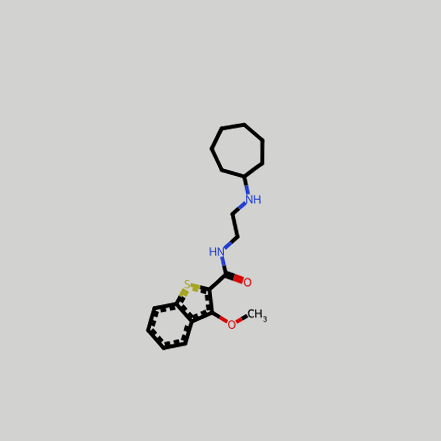 COc1c(C(=O)NCCNC2CCCCCC2)sc2ccccc12